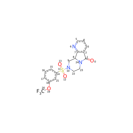 O=C1c2cccnc2C2CN(S(=O)(=O)c3cccc(OC(F)(F)F)c3)CCN12